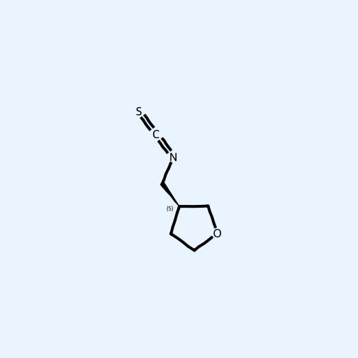 S=C=NC[C@@H]1CCOC1